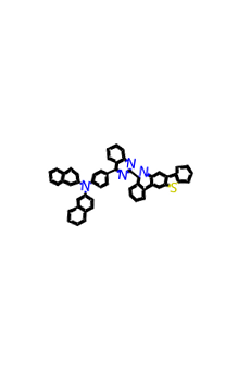 c1ccc2cc(N(c3ccc(-c4nc(-c5nc6cc7c(cc6c6ccccc56)sc5ccccc57)nc5ccccc45)cc3)c3ccc4ccccc4c3)ccc2c1